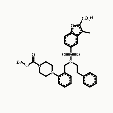 Cc1c(C(=O)O)oc2ccc(S(=O)(=O)N(CCc3ccccc3)Cc3ccccc3N3CCN(C(=O)OC(C)(C)C)CC3)cc12